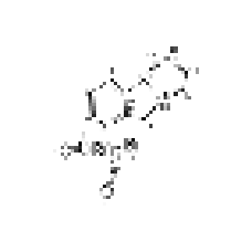 O=[C]=[Ru]([Br])(=[C]=O)[c]1cccc2c1Cc1ccccc1-2